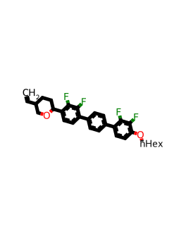 C=CC1CCC(c2ccc(-c3ccc(-c4ccc(OCCCCCC)c(F)c4F)cc3)c(F)c2F)OC1